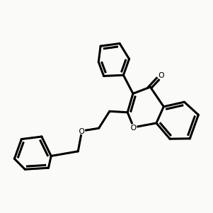 O=c1c(-c2ccccc2)c(CCOCc2ccccc2)oc2ccccc12